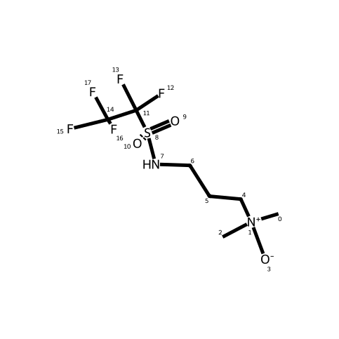 C[N+](C)([O-])CCCNS(=O)(=O)C(F)(F)C(F)(F)F